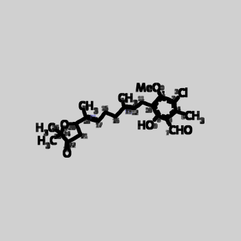 COc1c(Cl)c(C)c(C=O)c(O)c1C/C=C(\C)CC/C=C(\C)C1CC(=O)C(C)(C)O1